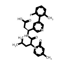 Cc1ccn(C(CC(C)C)C(=O)N[C@@H](CC(=O)O)c2cncc(-c3c(C)cccc3F)c2)c(=O)c1